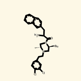 CCCC[C@H]1CN(CCc2ccc(Cl)c(Cl)c2)[C@H](C)CN1C(=O)C(N)Cc1ccc2ccccc2c1